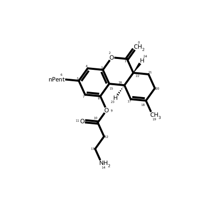 C=C1Oc2cc(CCCCC)cc(OC(=O)CCN)c2[C@@H]2C=C(C)CC[C@@H]12